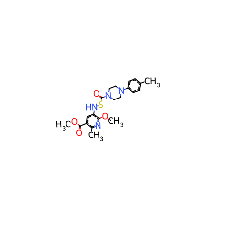 COC(=O)c1cc(NSC(=O)N2CCN(c3ccc(C)cc3)CC2)c(OC)nc1C